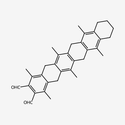 Cc1c(C=O)c(C=O)c(C)c2c1Cc1c(C)c3c(c(C)c1C2)Cc1c(C)c2c(c(C)c1C3)CCCC2